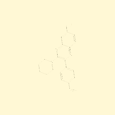 COc1ccc(-c2nc3ccc(C(=O)O)cc3nc2N2CCCC[C@@H]2C)cc1